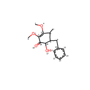 COC1=C(OC)C(C)C(Cc2ccccc2)C(O)C1=O